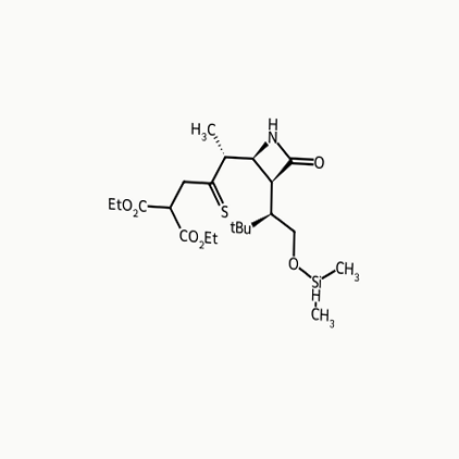 CCOC(=O)C(CC(=S)[C@H](C)[C@H]1NC(=O)[C@H]1[C@@H](CO[SiH](C)C)C(C)(C)C)C(=O)OCC